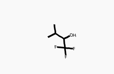 CC(C)C(O)C(F)(F)F